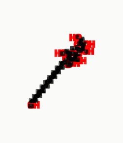 C[C@@H]1OC(CO)[C@@H](O)[C@H](O)C1O[C@@H]1OC(CO)[C@@H](OC(=O)CCCCCCC/C=C/CCCCCCCCO)[C@H](O)C1O